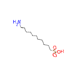 NCCCCCCCCCCCS(=O)(=O)O